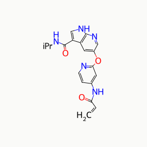 C=CC(=O)Nc1ccnc(Oc2cnc3[nH]cc(C(=O)NC(C)C)c3c2)c1